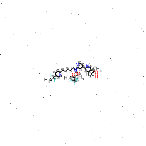 CC(C)(O)c1ccc(-c2ccnc(N(CCCCCc3ccc(C(C)(F)F)cn3)C(=O)OC(C)(C)C(F)(F)F)c2)nc1